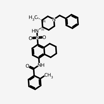 Cc1ccccc1C(=O)Nc1ccc(S(=O)(=O)N[C@H]2CCN(Cc3ccccc3)C[C@H]2C)c2c1CCCC2